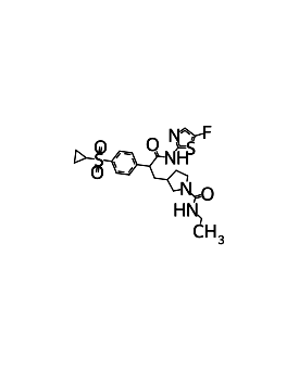 CCNC(=O)N1CCC(CC(C(=O)Nc2ncc(F)s2)c2ccc(S(=O)(=O)C3CC3)cc2)C1